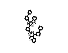 c1ccc(-c2cccc(-c3nc(-c4cccc(-c5nc(-c6cccc(-c7ccccc7)c6)c6c(n5)sc5ccccc56)c4)nc4sc5ccccc5c34)c2)cc1